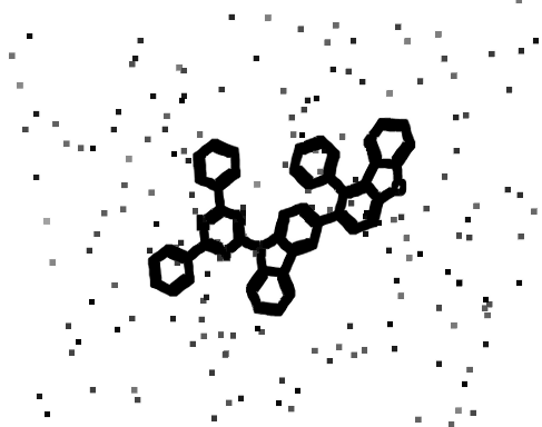 c1ccc(-c2nc(-c3ccccc3)nc(-n3c4ccccc4c4cc(-c5ccc6oc7ccccc7c6c5-c5ccccc5)ccc43)n2)cc1